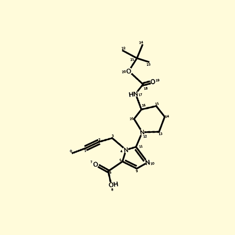 CC#CCn1c(C(=O)O)cnc1N1CCCC(NC(=O)OC(C)(C)C)C1